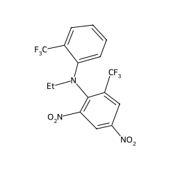 CCN(c1ccccc1C(F)(F)F)c1c([N+](=O)[O-])cc([N+](=O)[O-])cc1C(F)(F)F